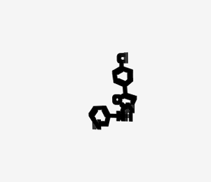 Clc1ccc(-c2cnc(Nc3cccnc3)o2)cc1